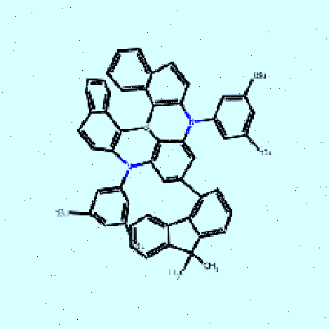 CC(C)(C)c1cc(N2c3cc(-c4cccc5c4-c4ccccc4C5(C)C)cc4c3B(c3c2ccc2ccccc32)c2c(ccc3ccccc23)N4c2cc(C(C)(C)C)cc(C(C)(C)C)c2)cc(C(C)(C)C)c1